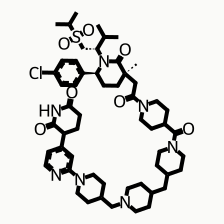 CC(C)[C@@H](CS(=O)(=O)C(C)C)N1C(=O)[C@@](C)(CC(=O)N2CCC(C(=O)N3CCC(CC4CCN(CC5CCN(c6cc(C7CCC(=O)NC7=O)ccn6)CC5)CC4)CC3)CC2)CC[C@H]1c1ccc(Cl)cc1